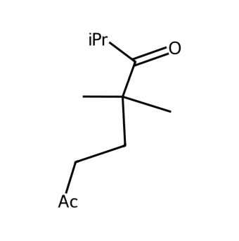 CC(=O)CCC(C)(C)C(=O)C(C)C